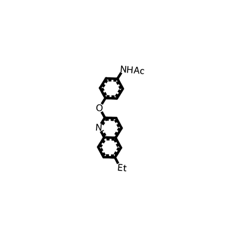 CCc1ccc2nc(Oc3ccc(NC(C)=O)cc3)ccc2c1